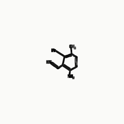 Cc1ccc(N)c(C=N)c1C(C)C